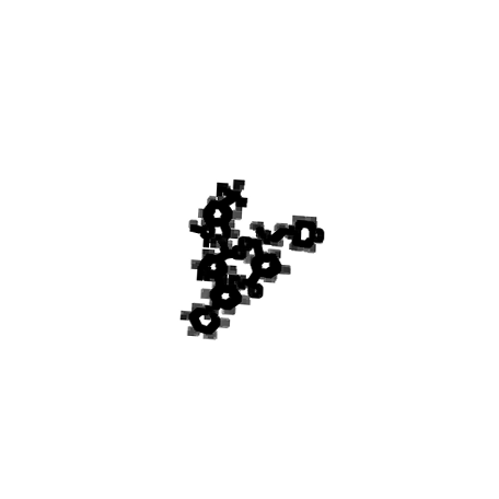 COc1ccc(C(F)(F)F)cc1CNC(=O)c1ccnc(-c2cc(N3CCCCC3)ccc2NC(=O)c2cccc(C(=O)N(C)CCN3CCOCC3)c2)c1